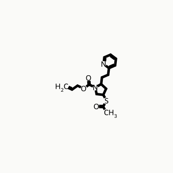 C=CCOC(=O)N1CC(SC(C)=O)CC1CCc1ccccn1